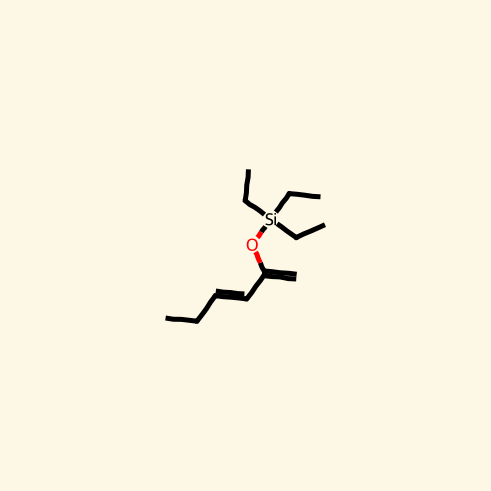 C=C(/C=C/CC)O[Si](CC)(CC)CC